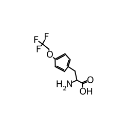 NC(Cc1ccc(OCC(F)(F)F)cc1)C(=O)O